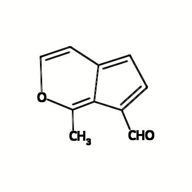 Cc1occc2ccc(C=O)c1-2